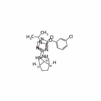 CC(C)n1nc(N[C@H]2[C@@H]3CC[C@H]2CN(c2cc(Cl)ncn2)C3)nc1Oc1cccc(Cl)c1